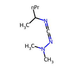 CCCC(C)N=C=NN(C)C